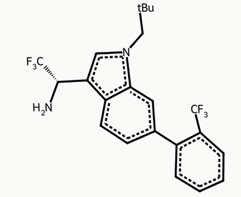 CC(C)(C)Cn1cc([C@H](N)C(F)(F)F)c2ccc(-c3ccccc3C(F)(F)F)cc21